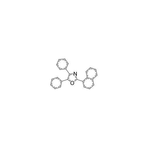 c1ccc(-c2nc(-c3cccc4ccccc34)oc2-c2ccccc2)cc1